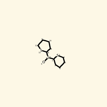 [O-][S+](C1CCCCS1)C1CCCCS1